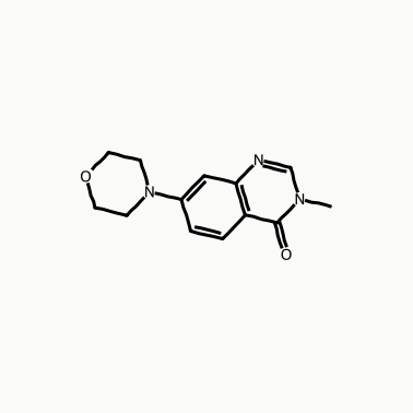 Cn1cnc2cc(N3CCOCC3)ccc2c1=O